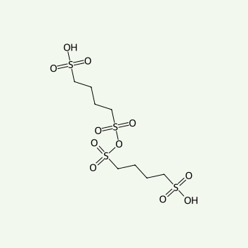 O=S(=O)(O)CCCCS(=O)(=O)OS(=O)(=O)CCCCS(=O)(=O)O